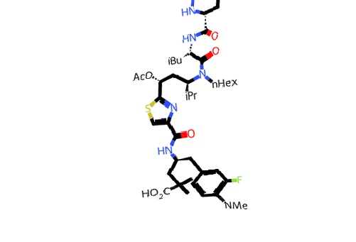 CCCCCCN(C(=O)[C@@H](NC(=O)[C@H]1CCCCN1)[C@@H](C)CC)[C@H](C[C@@H](OC(C)=O)c1nc(C(=O)N[C@@H](Cc2ccc(NC)c(F)c2)CC(C)(C)C(=O)O)cs1)C(C)C